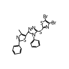 Cc1nc(-c2ccccc2)sc1-c1nnc(Sc2nc(Br)c(Br)s2)n1-c1ccccc1